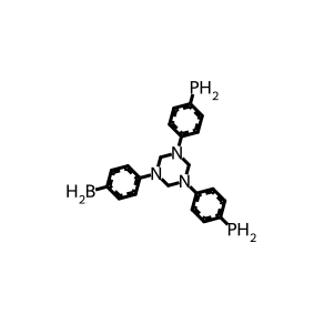 Bc1ccc(N2CN(c3ccc(P)cc3)CN(c3ccc(P)cc3)C2)cc1